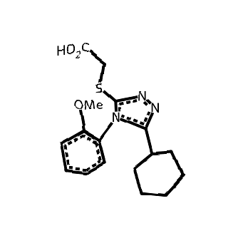 COc1ccccc1-n1c(SCC(=O)O)nnc1C1CCCCC1